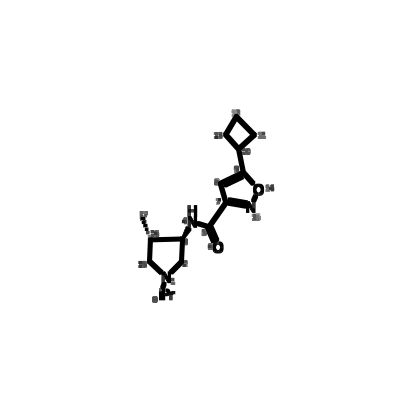 CC(C)N1C[C@H](NC(=O)c2cc(C3CCC3)on2)[C@@H](C)C1